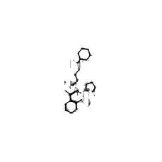 O=c1c2c(c3cnn(CCCNC4CCCCC4)c3n1C1CCCN1)CCCC2